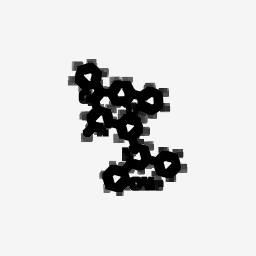 COc1ccccc1-c1cc(-c2ccccc2)cc(-c2cccc(-c3cc(-c4oc5ccccc5c4-c4ccc5c(c4)oc4ccccc45)cc(C)n3)c2)n1